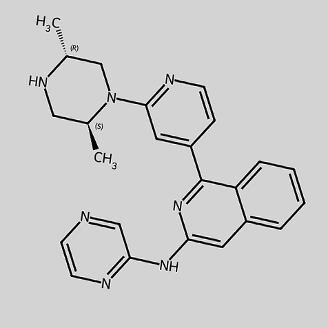 C[C@@H]1CN(c2cc(-c3nc(Nc4cnccn4)cc4ccccc34)ccn2)[C@@H](C)CN1